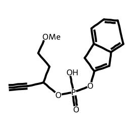 C#CC(CCOC)OP(=O)(O)OC1=Cc2ccccc2C1